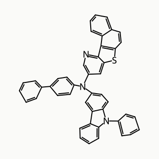 c1ccc(-c2ccc(N(c3cnc4c(c3)sc3ccc5ccccc5c34)c3ccc4c(c3)c3ccccc3n4-c3ccccc3)cc2)cc1